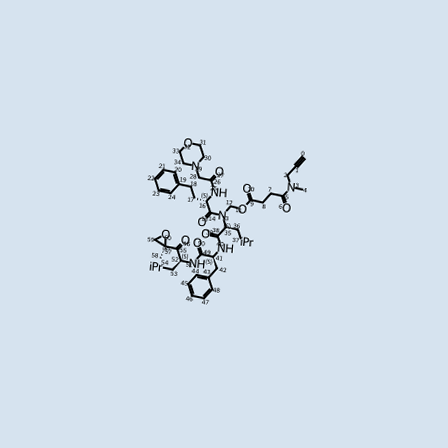 C#CCN(C)C(=O)CCC(=O)OCN(C(=O)[C@H](CCc1ccccc1)NC(=O)CN1CCOCC1)[C@@H](CC(C)C)C(=O)N[C@@H](Cc1ccccc1)C(=O)N[C@@H](CC(C)C)C(=O)[C@@]1(C)CO1